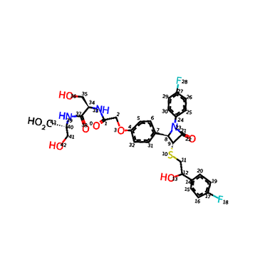 O=C(COc1ccc([C@@H]2[C@@H](SCC(O)c3ccc(F)cc3)C(=O)N2c2ccc(F)cc2)cc1)N[C@H](CO)C(=O)N[C@H](CO)C(=O)O